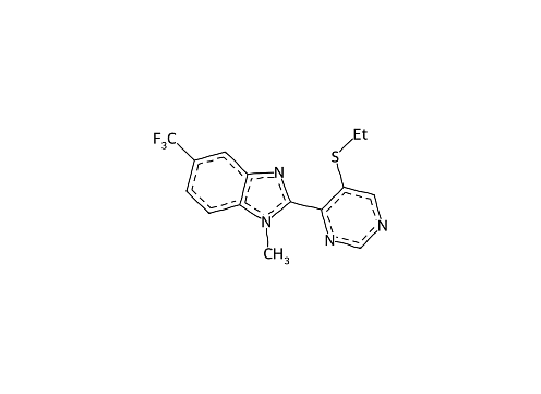 CCSc1cncnc1-c1nc2cc(C(F)(F)F)ccc2n1C